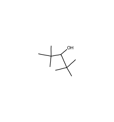 CC(C)(C)[C](O)C(C)(C)C